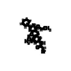 CCOc1nc(N2CCCCC2)nc(OCC)c1Sc1nc(N)cc(NC(=O)CBr)n1